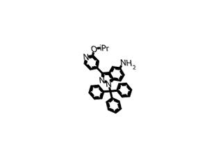 CC(C)Oc1cc(-c2nn(C(c3ccccc3)(c3ccccc3)c3ccccc3)c3ccc(N)cc23)ccn1